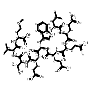 CSCC[C@H](NC(=O)[C@@H](NC(=O)[C@@H](NC(=O)[C@H](CCC(=O)O)NC(=O)[C@H](Cc1c[nH]c2ccccc12)NC(=O)[C@H](CCC(=O)O)NC(=O)[C@H](CCC(=O)O)NC(=O)[C@H](CCC(N)=O)NC(=O)[C@@H](N)CC(C)C)[C@@H](C)O)C(C)C)C(=O)O